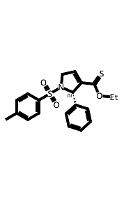 CCOC(=S)C1=CCN(S(=O)(=O)c2ccc(C)cc2)[C@H]1c1ccccc1